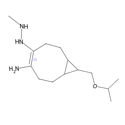 CNN/C1=C(\N)CCC2C(CC1)C2COC(C)C